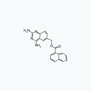 Nc1nc(N)c2cc(COC(=O)c3cccc4ccccc34)ccc2n1